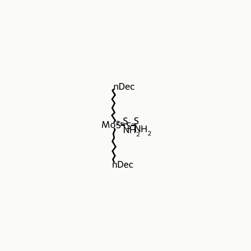 CCCCCCCCCCCCCCCCC[CH2][Mo+2][CH2]CCCCCCCCCCCCCCCCC.NC(=S)[S-].NC(=S)[S-]